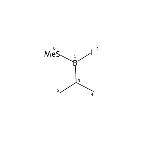 CSB(I)C(C)C